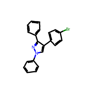 Brc1ccc(-c2cn(-c3ccccc3)nc2-c2ccccc2)cc1